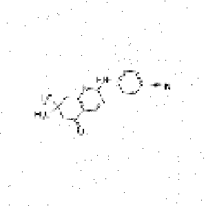 CC1(C)CC(=O)c2cnc(Nc3ccc(C#N)cc3)nc2C1